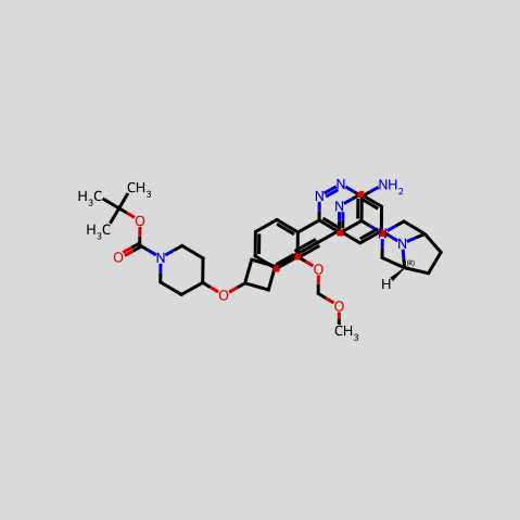 COCOc1ccccc1-c1cc(N2CC3CC[C@H](C2)N3c2ccnc(C#CC3CC(OC4CCN(C(=O)OC(C)(C)C)CC4)C3)c2)c(N)nn1